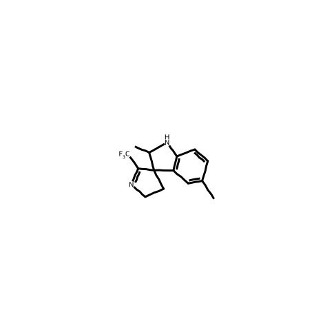 Cc1ccc2c(c1)C1(CCN=C1C(F)(F)F)C(C)N2